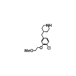 COCCOc1cc(CC2CCNCC2)ccc1Cl